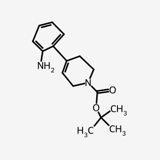 CC(C)(C)OC(=O)N1CC=C(c2ccccc2N)CC1